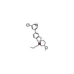 CCC1=NC2(CC(OC)CCC23Cc2ccc(-c4cncc(Cl)c4)cc2C3)N=C1